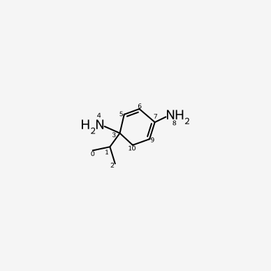 CC(C)C1(N)C=CC(N)=CC1